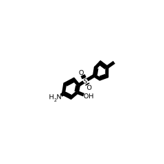 Cc1ccc(S(=O)(=O)c2ccc(N)cc2O)cc1